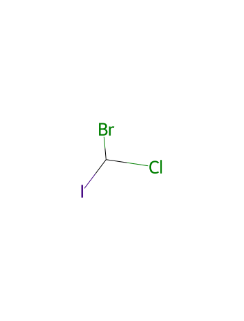 ClC(Br)I